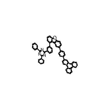 c1ccc(-c2nc(-c3ccccc3)nc(-c3cccc(-c4cccc5oc6ccc(-c7ccc(-c8ccc9c%10ccccc%10c%10ccccc%10c9c8)cc7)cc6c45)c3)n2)cc1